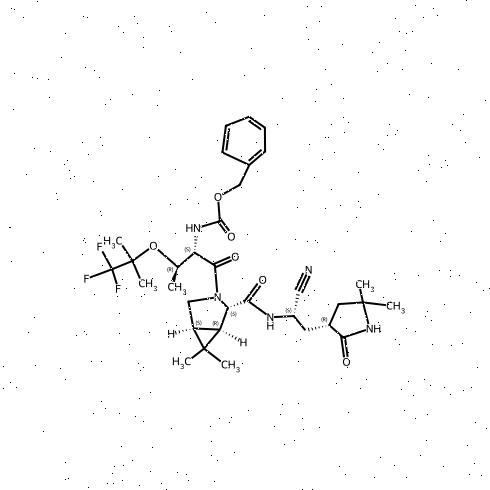 C[C@@H](OC(C)(C)C(F)(F)F)[C@H](NC(=O)OCc1ccccc1)C(=O)N1C[C@H]2[C@@H]([C@H]1C(=O)N[C@H](C#N)C[C@@H]1CC(C)(C)NC1=O)C2(C)C